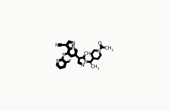 CC(=O)N1CCC([C@@H](C)N2N=CC(c3cc(Sc4ncccc4F)c4c(C#N)cnn4c3)C2C)CC1